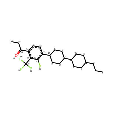 CCCC1CCC(C2CCC(c3ccc(C(=O)CC)c(C(F)(F)F)c3F)CC2)CC1